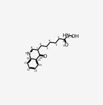 O=C(CCCCCC1C=Nc2ccccc2C1=O)NO